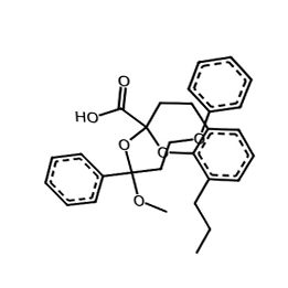 CCCc1cccc2c1OC(OC(CCOc1ccccc1)(OC)c1ccccc1)(C(=O)O)CC2